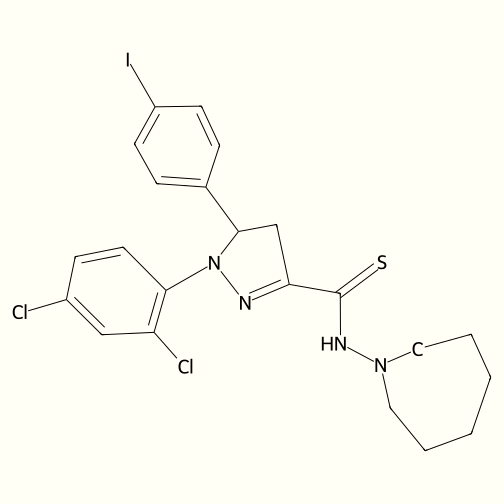 S=C(NN1CCCCCC1)C1=NN(c2ccc(Cl)cc2Cl)C(c2ccc(I)cc2)C1